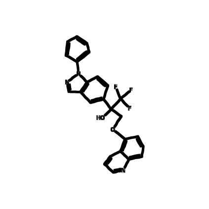 OC(COc1cccc2ncccc12)(c1ccc2c(cnn2-c2ccccc2)c1)C(F)(F)F